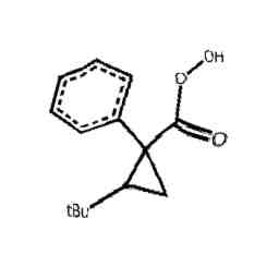 CC(C)(C)C1CC1(C(=O)OO)c1ccccc1